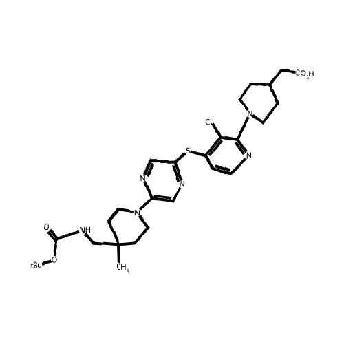 CC1(CNC(=O)OC(C)(C)C)CCN(c2cnc(Sc3ccnc(N4CCC(CC(=O)O)CC4)c3Cl)cn2)CC1